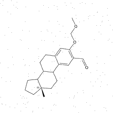 COCOc1cc2c(cc1C=O)C1CC[C@]3(C)CCCC3C1CC2